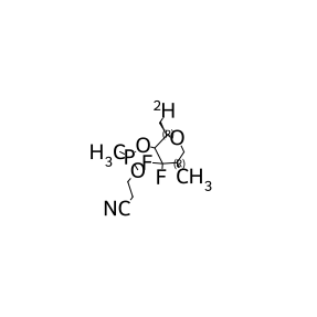 [2H]C[C@H]1OC[C@@H](C)C(F)(F)C1OP(C)OCCC#N